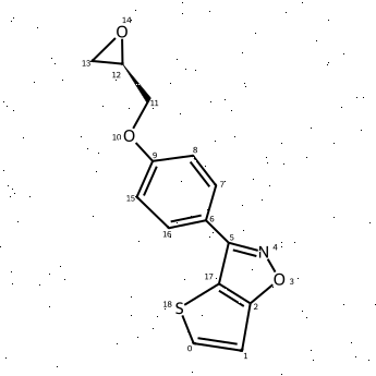 c1cc2onc(-c3ccc(OC[C@H]4CO4)cc3)c2s1